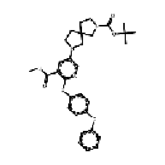 COC(=O)c1cc(N2CCC3(CCN(C(=O)OC(C)(C)C)C3)C2)cnc1Oc1ccc(Oc2ccccc2)cc1